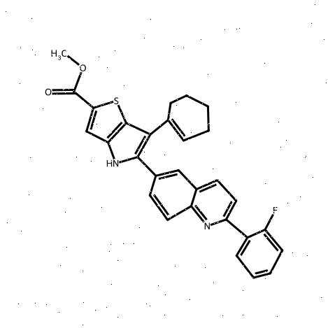 COC(=O)c1cc2[nH]c(-c3ccc4nc(-c5ccccc5F)ccc4c3)c(C3=CCCCC3)c2s1